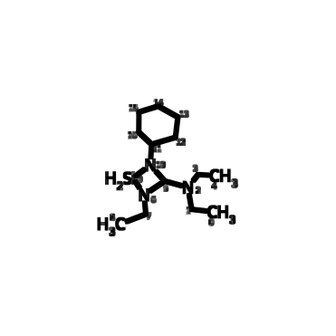 CCN(CC)C1N(CC)[SiH2]N1C1CCCCC1